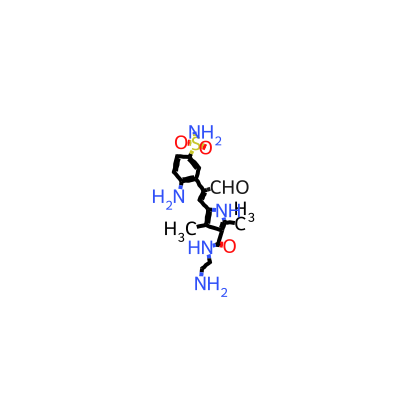 Cc1[nH]c(/C=C(\C=O)c2cc(S(N)(=O)=O)ccc2N)c(C)c1C(=O)NCCN